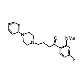 CNc1cc(F)ccc1C(=O)CCCN1CCN(c2ccccc2)CC1